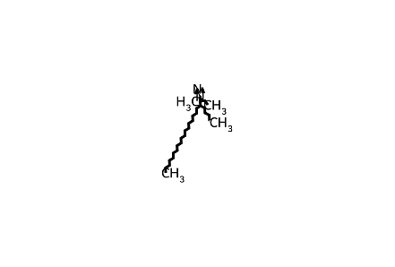 CCCCCCCCCCCCCCCCCCC(CCCCC)C(C)(CC)n1ccnc1